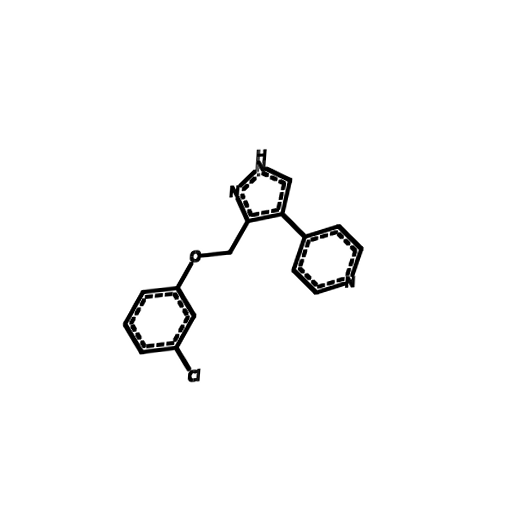 Clc1cccc(OCc2n[nH]cc2-c2ccncc2)c1